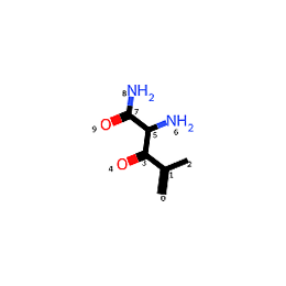 C=C(C)C(=O)C(N)C(N)=O